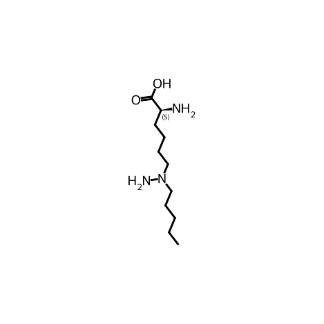 CCCCCN(N)CCCC[C@H](N)C(=O)O